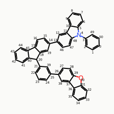 c1ccc(-n2c3ccccc3c3cc(-c4ccc5c(c4)C(c4cccc(-c6ccc7oc8ccccc8c7c6)c4)c4ccccc4-5)ccc32)cc1